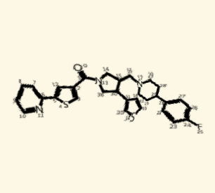 O=C(c1csc(-c2ccccn2)c1)N1CC(CN2CCC(c3ccc(F)cc3)CC2)C(c2ccsc2)C1